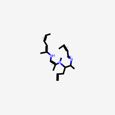 C=CCC(C(C)/N=C/C=C\C)N(C)/C(C)=C\N/C(C)=C/C=C\C